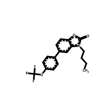 CCCCn1c(=O)oc2ccc(-c3ccc(OC(F)(F)F)cc3)cc21